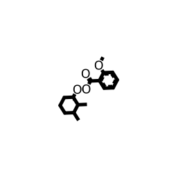 COc1ccccc1C(=O)OO[C]1CCCC(C)C1C